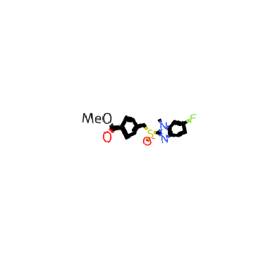 COC(=O)c1ccc(C[S+]([O-])c2nc3ccc(F)cc3n2C)cc1